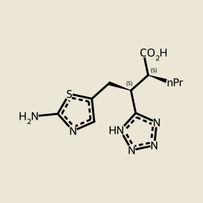 CCC[C@H](C(=O)O)[C@H](Cc1cnc(N)s1)c1nnn[nH]1